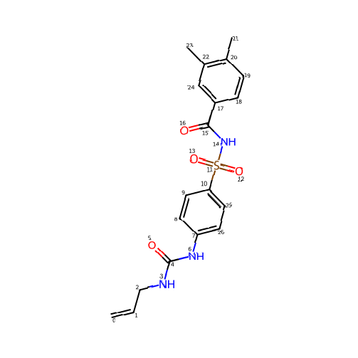 C=CCNC(=O)Nc1ccc(S(=O)(=O)NC(=O)c2ccc(C)c(C)c2)cc1